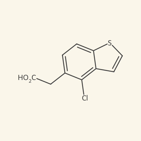 O=C(O)Cc1ccc2sccc2c1Cl